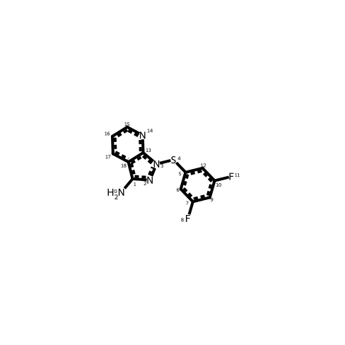 Nc1nn(Sc2cc(F)cc(F)c2)c2ncccc12